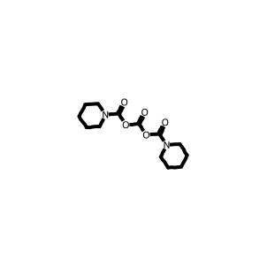 O=C(OC(=O)N1CCCCC1)OC(=O)N1CCCCC1